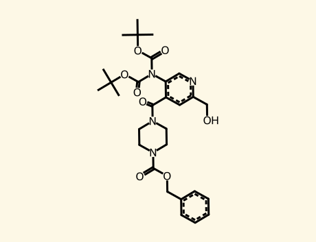 CC(C)(C)OC(=O)N(C(=O)OC(C)(C)C)c1cnc(CO)cc1C(=O)N1CCN(C(=O)OCc2ccccc2)CC1